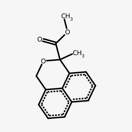 COC(=O)C1(C)OCc2cccc3cccc1c23